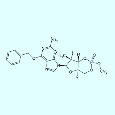 COP1(=O)OC[C@H]2O[C@@H](n3cnc4c(OCc5ccccc5)nc(N)nc43)[C@](C)(F)[C@@H]2O1